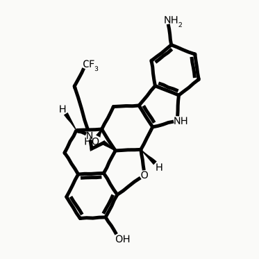 Nc1ccc2[nH]c3c(c2c1)C[C@@]1(O)[C@H]2Cc4ccc(O)c5c4[C@@]1(CCN2CC(F)(F)F)[C@H]3O5